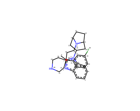 Cc1nc2ccccc2n1C1CC2CCC(C1)N2CCC1(c2cccc(F)c2)CCNCC1